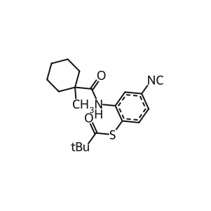 [C-]#[N+]c1ccc(SC(=O)C(C)(C)C)c(NC(=O)C2(C)CCCCC2)c1